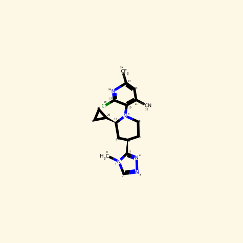 Cn1cnnc1[C@@H]1CCN(c2c(C#N)cc(C(F)(F)F)nc2Cl)[C@H](C2CC2)C1